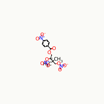 CC(C)(CO[N+](=O)[O-])[C@H](COC(=O)c1ccc([N+](=O)[O-])cc1)O[N+](=O)[O-]